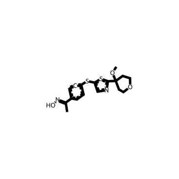 COC1(c2ncc(Sc3ccc(/C(C)=N/O)cc3)s2)CCOCC1